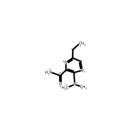 CCc1cnc(N(C)C)c(C(N)=O)n1